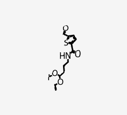 CCOC(CCCNC(=O)c1ccc(C=O)s1)OI